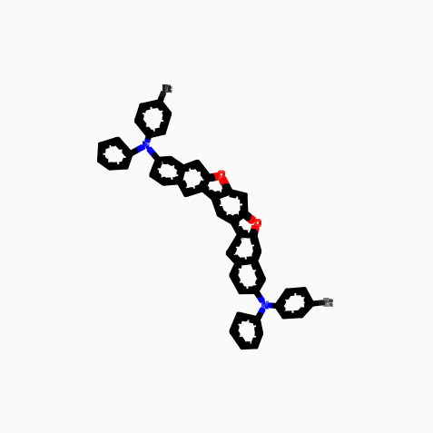 CCc1ccc(N(c2ccccc2)c2ccc3cc4c(cc3c2)oc2cc3oc5cc6cc(N(c7ccccc7)c7ccc(CC)cc7)ccc6cc5c3cc24)cc1